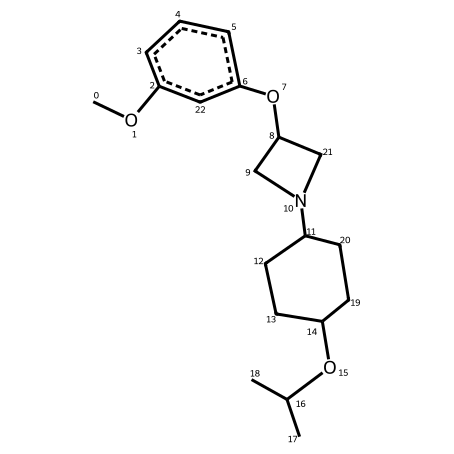 COc1cccc(OC2CN(C3CCC(OC(C)C)CC3)C2)c1